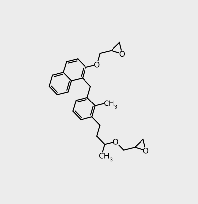 Cc1c(CCC(C)OCC2CO2)cccc1Cc1c(OCC2CO2)ccc2ccccc12